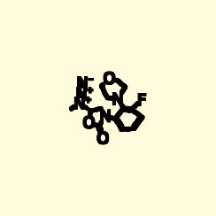 C[N+](=[N+]=[N-])[C@H]1CN(c2cccc(F)c2N2CCOCC2)C(=O)O1